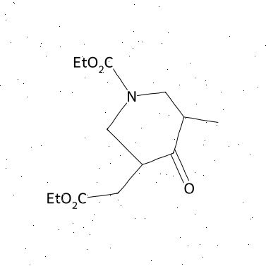 CCOC(=O)CC1CN(C(=O)OCC)CC(C)C1=O